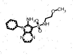 COCCNS(=O)(=O)c1c(N)n(-c2ccccc2)c2nccnc12